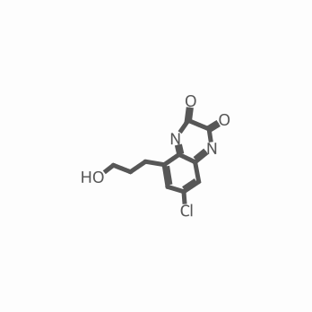 O=C1N=c2cc(Cl)cc(CCCO)c2=NC1=O